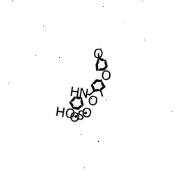 COc1ccc(Oc2ccc(C(=O)Nc3ccc(O)c(S(C)(=O)=O)c3)c(C)c2)cc1